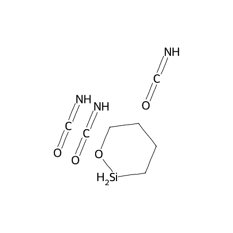 C1CC[SiH2]OC1.N=C=O.N=C=O.N=C=O